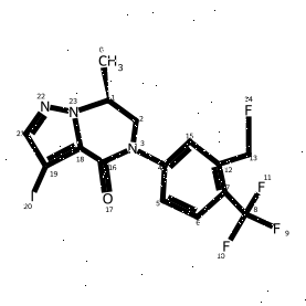 C[C@H]1CN(c2ccc(C(F)(F)F)c(CF)c2)C(=O)c2c(I)cnn21